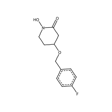 O=C1CC(OCc2ccc(F)cc2)CCN1O